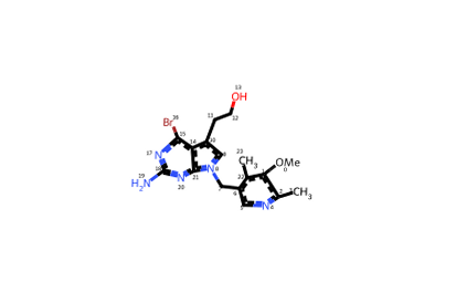 COc1c(C)ncc(Cn2cc(CCO)c3c(Br)nc(N)nc32)c1C